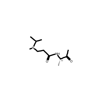 CC(=O)[C@H](C)NC(=O)CCN(C)C(C)C